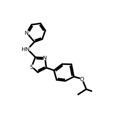 CC(C)Oc1ccc(-c2csc(Nc3ccccn3)n2)cc1